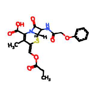 CCC(=O)OC=C1S[C@H]2C(NC(=O)COc3ccccc3)C(=O)N2C(C(=O)O)=C1C